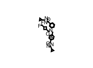 O=C(C1CC(C(F)F)C1)N(CC12CCC(c3nc(C4CC4)no3)(CC1)OC2)c1cccc(-c2nc(C3CC3)no2)c1